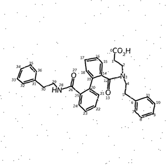 O=C(O)CCN(CCc1ccccc1)C(=O)c1ccccc1-c1ccccc1C(=O)NCCc1ccccc1